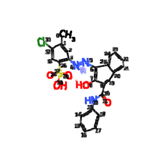 Cc1cc(/N=N/c2c(O)c(C(=O)Nc3ccccc3)cc3ccccc23)c(S(=O)(=O)O)cc1Cl